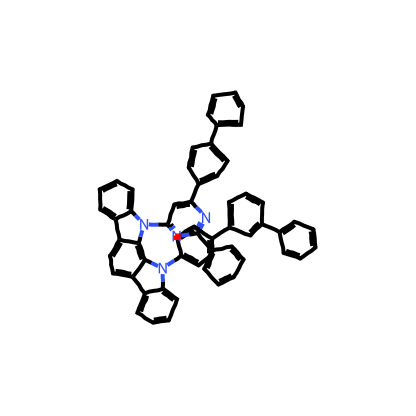 c1ccc(-c2ccc(-c3cc(-n4c5ccccc5c5ccc6c7ccccc7n(-c7ccc(-c8cccc(-c9ccccc9)c8)cc7)c6c54)nc(-c4ccccc4)n3)cc2)cc1